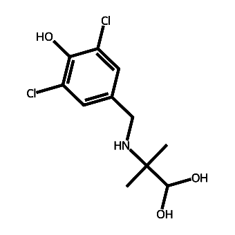 CC(C)(NCc1cc(Cl)c(O)c(Cl)c1)C(O)O